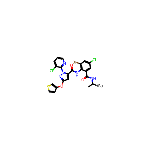 CC(NC(=O)c1cc(Cl)cc(Br)c1NC(=O)c1cc(Oc2ccsc2)nn1-c1ncccc1Cl)C(C)(C)C